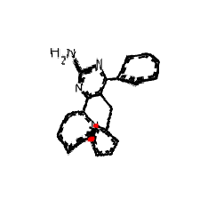 Nc1nc(-c2ccccc2)c(Cc2ccccc2)c(-c2ccccn2)n1